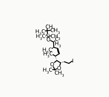 CC(/C=C\[C@@H](C)[C@H](C)O[Si](C)(C)C(C)(C)C)[C@H]1OC(C)(C)O[C@H]1CCI